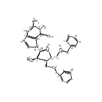 CC(=O)O[C@@H]1[C@H](COCc2ccccc2)[C@@H](COCc2ccccc2)O[C@H]1n1cnc2nc(N)n(C(C)=O)c(=O)c21